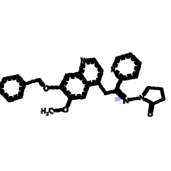 COc1cc2c(C/C(=N/N3CCCC3=O)c3ccccn3)ccnc2cc1OCc1ccccc1